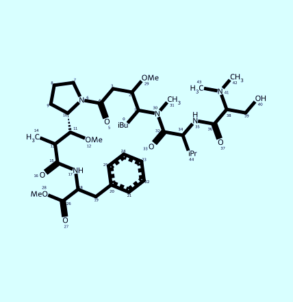 CCC(C)C(C(CC(=O)N1CCC[C@H]1C(OC)C(C)C(=O)NC(Cc1ccccc1)C(=O)OC)OC)N(C)C(=O)C(NC(=O)C(CO)N(C)C)C(C)C